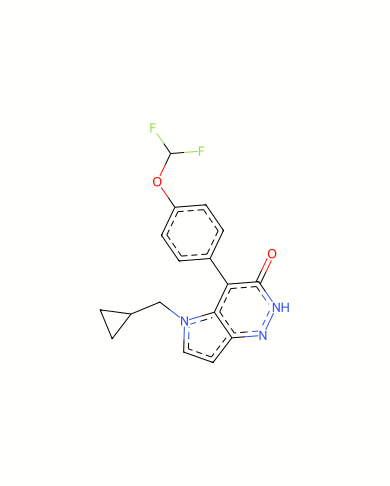 O=c1[nH]nc2ccn(CC3CC3)c2c1-c1ccc(OC(F)F)cc1